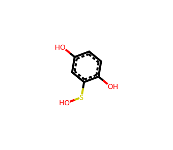 OSc1cc(O)ccc1O